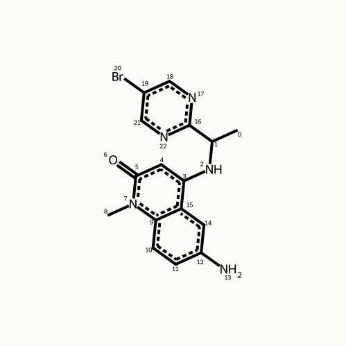 CC(Nc1cc(=O)n(C)c2ccc(N)cc12)c1ncc(Br)cn1